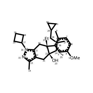 CC[C@]1(c2cc(OC)ccc2C)Cc2c(c(C)nn2C2CCC2)C[C@@]1(O)[C@@H](C)N(C)CC1CC1